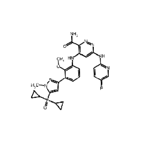 COc1c(Nc2cc(Nc3ccc(F)cn3)nnc2C(N)=O)cccc1-c1cc(P(=O)(C2CC2)C2CC2)n(C)n1